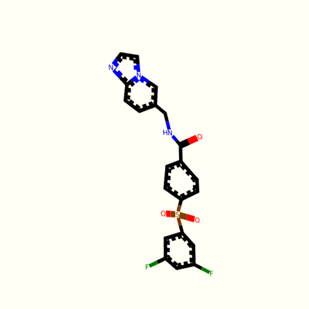 O=C(NCc1ccc2nccn2c1)c1ccc(S(=O)(=O)c2cc(F)cc(F)c2)cc1